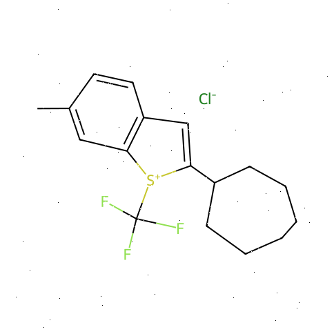 Cc1ccc2cc(C3CCCCCC3)[s+](C(F)(F)F)c2c1.[Cl-]